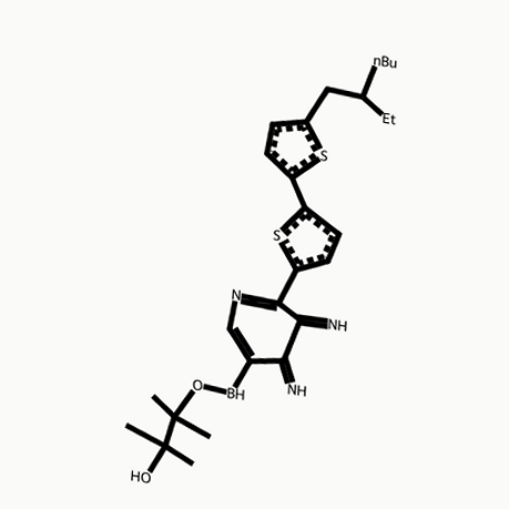 CCCCC(CC)Cc1ccc(-c2ccc(C3=NC=C(BOC(C)(C)C(C)(C)O)C(=N)C3=N)s2)s1